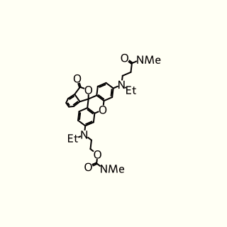 CCN(CCOC(=O)NC)c1ccc2c(c1)Oc1cc(N(CC)CCC(=O)NC)ccc1C21OC(=O)c2ccccc21